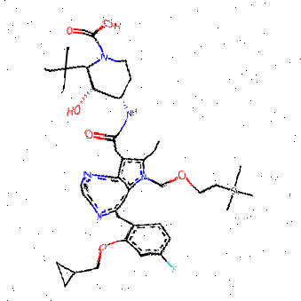 Cc1c(C(=O)N[C@H]2CCN(C(=O)O)C(C(C)(C)C)[C@H]2O)c2ncnc(-c3ccc(F)cc3OCC3CC3)c2n1COCC[Si](C)(C)C